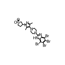 Cc1nn(C2CCS(=O)(=O)C2)c(C)c1N1CCN(c2nc3c(Br)c(Br)c(Br)c(Br)c3[nH]2)CC1